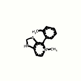 Cc1ccccc1-c1c2c(cc[n+]1C)NCS2